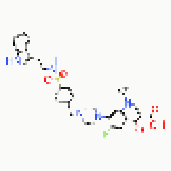 O=C(O)c1cn(C2CC2)c2cc(N3CCN(Cc4ccc(S(=O)(=O)NCCc5c[nH]c6ccccc56)cc4)CC3)c(F)cc2c1=O